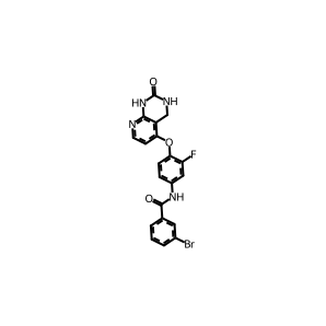 O=C1NCc2c(Oc3ccc(NC(=O)c4cccc(Br)c4)cc3F)ccnc2N1